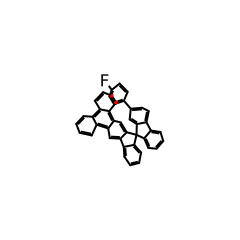 Fc1ccc(-c2ccc3c(c2)C2(c4ccccc4-3)c3ccccc3-c3cc4c5ccccc5c5ccccc5c4cc32)cc1